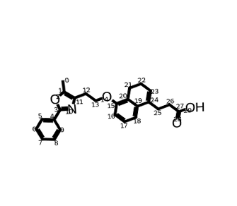 Cc1oc(-c2ccccc2)nc1CCOc1cccc2c1CCC=C2CCC(=O)O